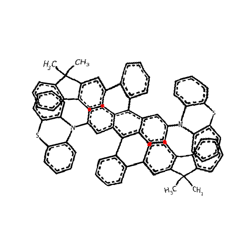 CC1(C)c2ccccc2-c2ccc(-c3ccccc3-c3c4ccc(N5c6ccccc6Sc6ccccc65)cc4c(-c4ccccc4-c4ccc5c(c4)C(C)(C)c4ccccc4-5)c4ccc(N5c6ccccc6Sc6ccccc65)cc34)cc21